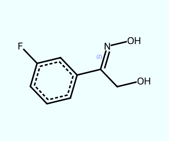 OC/C(=N\O)c1cccc(F)c1